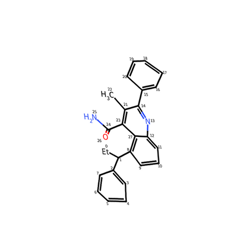 CCC(c1ccccc1)c1cccc2nc(-c3ccccc3)c(C)c(C(N)=O)c12